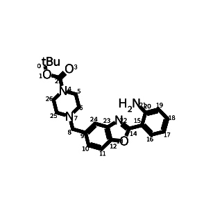 CC(C)(C)OC(=O)N1CCN(Cc2ccc3oc(-c4ccccc4N)nc3c2)CC1